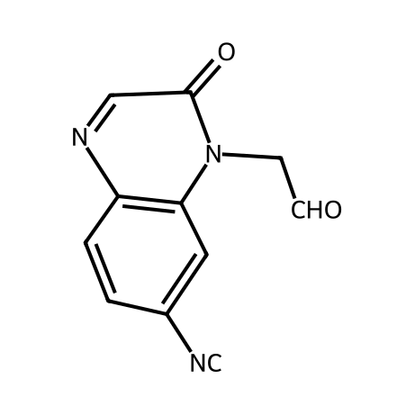 [C-]#[N+]c1ccc2ncc(=O)n(CC=O)c2c1